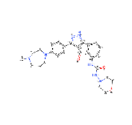 CN1CCCN(c2ccc(-c3n[nH]c4c3C(=O)c3c(NC(=O)NN5CCOCC5)cccc3-4)cc2)CC1